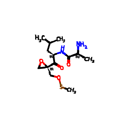 CSOC[C@]1(C(=O)[C@H](CC(C)C)NC(=O)[C@H](C)N)CO1